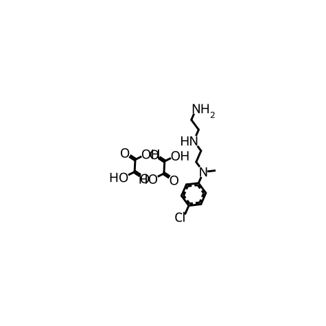 CN(CCNCCN)c1ccc(Cl)cc1.O=C(O)C(=O)O.O=C(O)C(=O)O